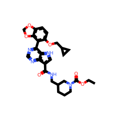 CCOC(=O)N1CCCC(CNC(=O)c2c[nH]c3c(-c4c(OCC5CC5)ccc5c4OCO5)ncnc23)C1